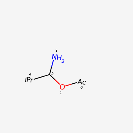 CC(=O)OC(N)C(C)C